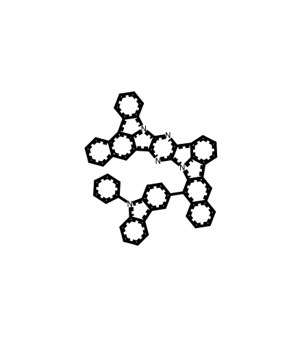 c1ccc(-n2c3ccccc3c3cc(-c4c5ccccc5cc5c6cccc7c8nc9c(nc8n(c45)c67)c4cc5ccccc5c5c6ccccc6n9c45)ccc32)cc1